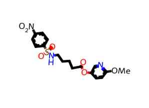 COc1ccc(OC(=O)CCCCNS(=O)(=O)c2ccc([N+](=O)[O-])cc2)cn1